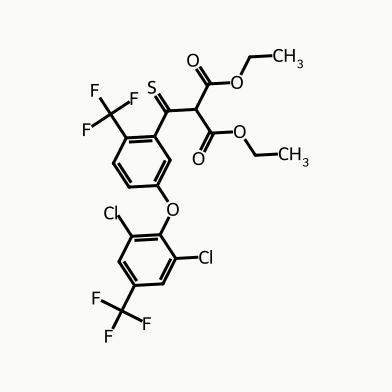 CCOC(=O)C(C(=O)OCC)C(=S)c1cc(Oc2c(Cl)cc(C(F)(F)F)cc2Cl)ccc1C(F)(F)F